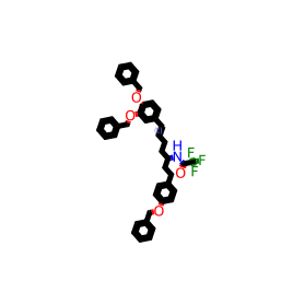 O=C(NC(CC/C=C/c1ccc(OCc2ccccc2)c(OCc2ccccc2)c1)CCc1ccc(OCc2ccccc2)cc1)C(F)(F)F